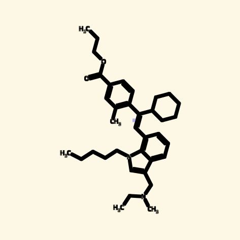 CCCCCn1cc(CN(C)CC)c2cccc(/C=C(/c3ccc(C(=O)OCCC)cc3C)C3CCCCC3)c21